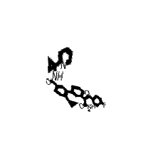 CNC(=O)c1c(-c2ccc(F)cc2)oc2ccc(-c3cc(C(=O)NC4(c5ccccn5)CC4)ccc3C3CC3)cc12